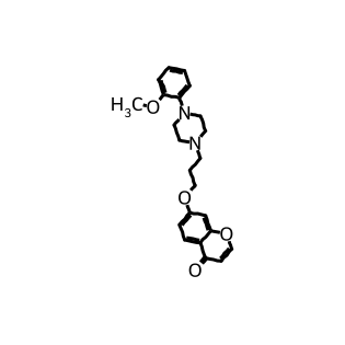 COc1ccccc1N1CCN(CCCOc2ccc3c(=O)ccoc3c2)CC1